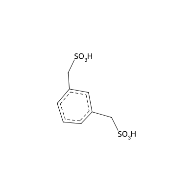 O=S(=O)(O)Cc1cccc(CS(=O)(=O)O)c1